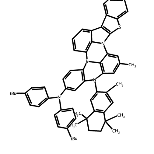 Cc1cc2c3c(c1)-n1c4sc5ccccc5c4c4cccc(c41)B3c1ccc(N(c3ccc(C(C)(C)C)cc3)c3ccc(C(C)(C)C)cc3)cc1N2c1cc2c(cc1C)C(C)(C)CCC2(C)C